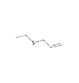 [CH]=CCSCC